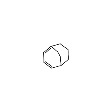 C1=CC2CCCC(=C1)CC2